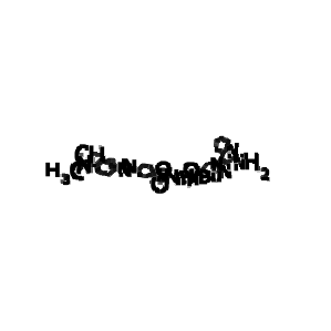 CCCCc1nc2c(N)nc3ccccc3c2n1CCOCCNS(=O)(=O)c1ccc(/N=N/c2ccc(N(C)C)cc2)cc1